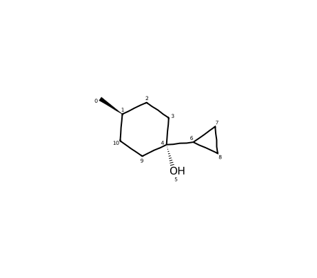 C[C@H]1CC[C@@](O)(C2CC2)CC1